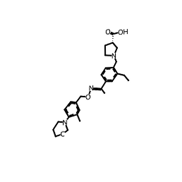 CCc1cc(/C(C)=N/OCc2ccc(N3CCCCC3)c(C)c2)ccc1CN1CC[C@H](C(=O)O)C1